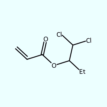 [CH2]CC(OC(=O)C=C)C(Cl)Cl